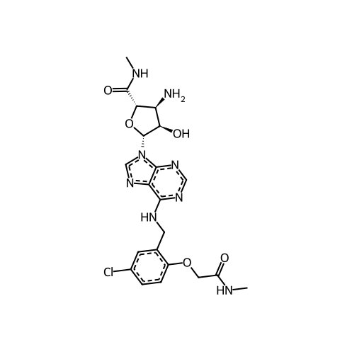 CNC(=O)COc1ccc(Cl)cc1CNc1ncnc2c1ncn2[C@@H]1O[C@H](C(=O)NC)[C@@H](N)[C@H]1O